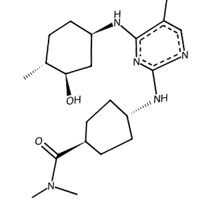 C[C@@H]1CC[C@@H](Nc2nc(N[C@H]3CC[C@H](C(=O)N(C)C)CC3)ncc2C#N)C[C@H]1O